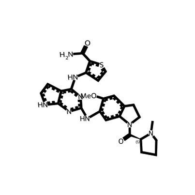 COc1cc2c(cc1Nc1nc(Nc3ccsc3C(N)=O)c3cc[nH]c3n1)N(C(=O)[C@@H]1CCCN1C)CC2